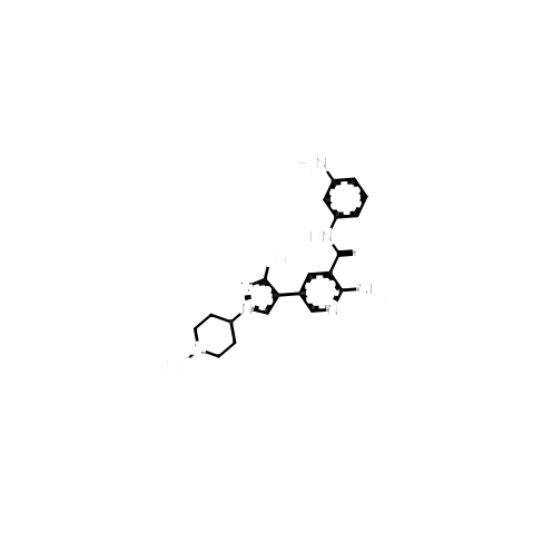 CC(C)(C)c1nn(C2CCN(C(=O)O)CC2)cc1-c1cnc(N)c(C(=O)Nc2cccc(N)c2)c1